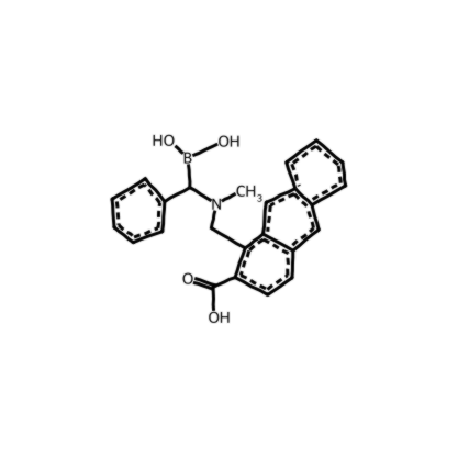 CN(Cc1c(C(=O)O)ccc2cc3ccccc3cc12)C(B(O)O)c1ccccc1